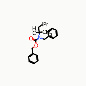 CC(C)CC(C)(C)N(Cc1ccccc1)C(=O)OCc1ccccc1